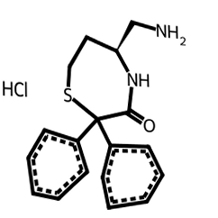 Cl.NC[C@@H]1CCSC(c2ccccc2)(c2ccccc2)C(=O)N1